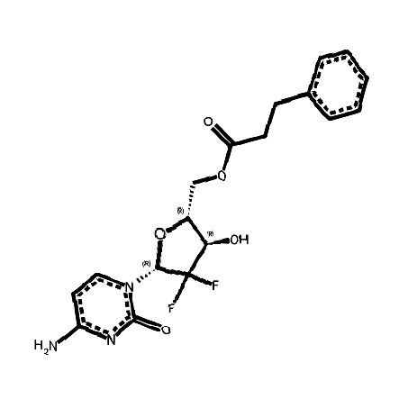 Nc1ccn([C@@H]2O[C@H](COC(=O)CCc3ccccc3)[C@@H](O)C2(F)F)c(=O)n1